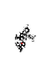 CC1CC(c2cccc(-n3cc(C(F)F)c4cc(CN5CCC[C@H](C)C5)n(COCC[Si](C)(C)C)c4c3=O)c2)(c2nncn2C)C1